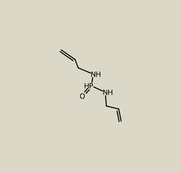 C=CCN[PH](=O)NCC=C